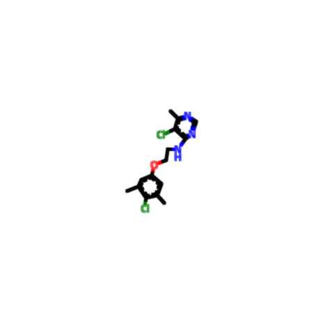 Cc1cc(OCCNc2ncnc(C)c2Cl)cc(C)c1Cl